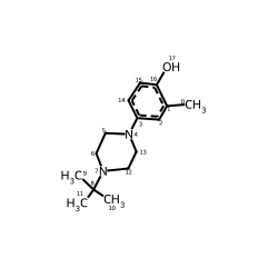 Cc1cc(N2CCN(C(C)(C)C)CC2)ccc1O